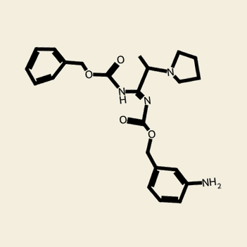 CC(C(=NC(=O)OCc1cccc(N)c1)NC(=O)OCc1ccccc1)N1CCCC1